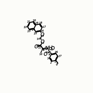 Cc1ccc(S(=O)(=O)N[C@@H](C)C(=O)OCOc2ccc3ccccc3c2)cc1